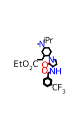 CCOC(=O)CCC1C[C@H](N(C)C(C)C)CC[C@@H]1N1CCC(NC(=O)c2cccc(C(F)(F)F)c2)C1=O